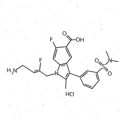 Cc1c(-c2cccc(S(=O)(=O)N(C)C)c2)c2cc(C(=O)O)c(F)cc2n1CC(F)=CCN.Cl